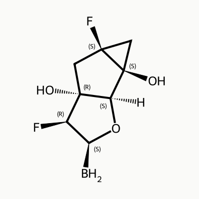 B[C@@H]1O[C@H]2[C@](O)(C[C@]3(F)C[C@]23O)[C@@H]1F